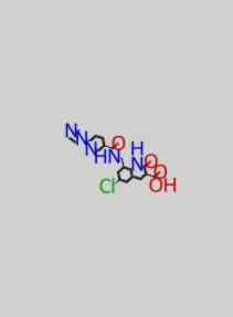 O=C(NCc1cc(Cl)cc2cc(C(=O)O)c(=O)[nH]c12)c1ccc(-n2ccnc2)nc1